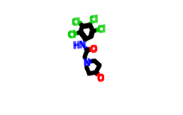 O=C1CCN(CC(=O)Nc2cc(Cl)c(Cl)c(Cl)c2Cl)CC1